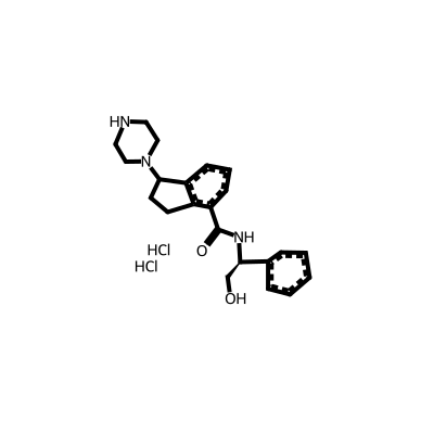 Cl.Cl.O=C(N[C@H](CO)c1ccccc1)c1cccc2c1CCC2N1CCNCC1